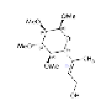 CO[C@H]1O[C@H](/C(C)=C/CO)[C@@H](OC)[C@H](OC)[C@H]1OC